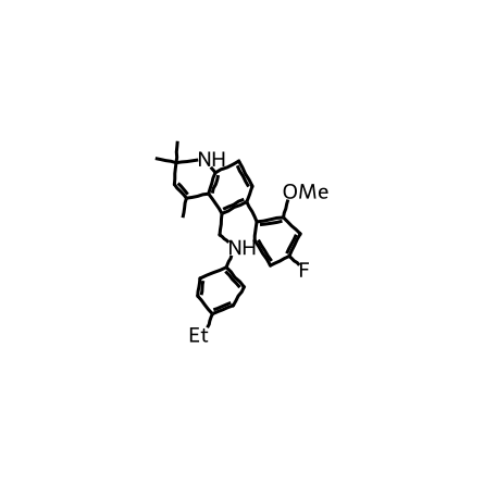 CCc1ccc(NCc2c(-c3ccc(F)cc3OC)ccc3c2C(C)=CC(C)(C)N3)cc1